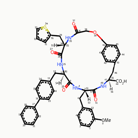 COc1cccc(C[C@@H]2NC(=O)[C@@H](Cc3ccc(-c4ccccc4)cc3)NC(=O)[C@H](Cc3cccs3)NC(=O)COc3ccc(cc3)C[C@@H](C(=O)O)NC2=O)c1